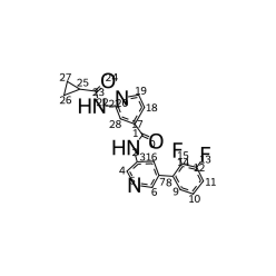 O=C(Nc1cncc(-c2cccc(F)c2F)c1)c1ccnc(NC(=O)C2CC2)c1